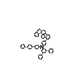 c1ccc(-c2ccc(-c3ccc(N(c4ccc(-c5cccc6c5oc5c6ccc6ccc7ccccc7c65)cc4)c4cc(-c5ccccc5)cc(-c5ccccc5)c4)cc3)cc2)cc1